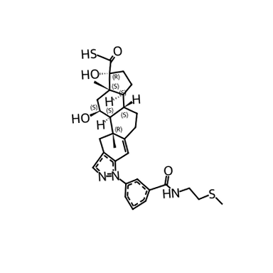 CSCCNC(=O)c1cccc(-n2ncc3c2C=C2CC[C@@H]4[C@H]([C@@H](O)C[C@@]5(C)[C@H]4CC[C@]5(O)C(=O)S)[C@@]2(C)C3)c1